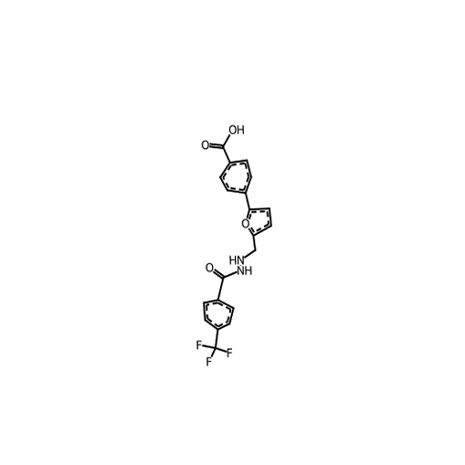 O=C(O)c1ccc(-c2ccc(CNNC(=O)c3ccc(C(F)(F)F)cc3)o2)cc1